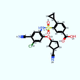 N#Cc1cc(NS(=O)(=O)c2cc(C(=O)O)ccc2C2CC2)c(OC2CCC(C#N)C2)cc1Cl